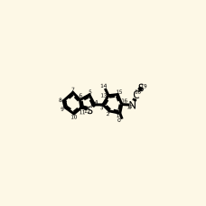 Cc1cc(-c2cc3ccccc3s2)c(C)cc1N=C=S